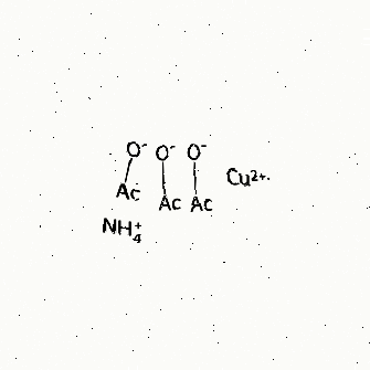 CC(=O)[O-].CC(=O)[O-].CC(=O)[O-].[Cu+2].[NH4+]